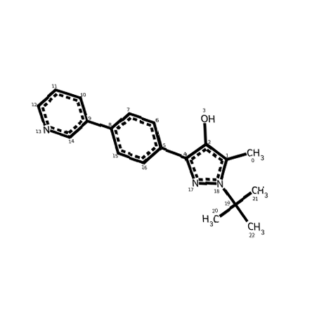 Cc1c(O)c(-c2ccc(-c3cccnc3)cc2)nn1C(C)(C)C